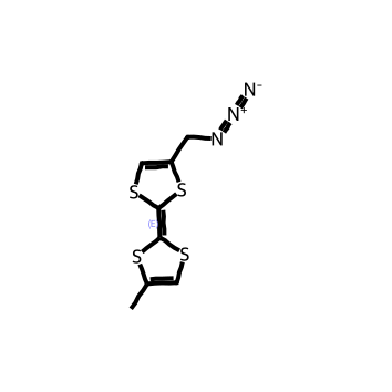 CC1=CS/C(=C2/SC=C(CN=[N+]=[N-])S2)S1